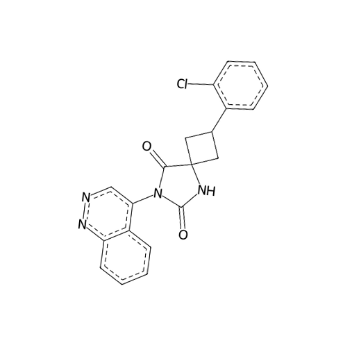 O=C1NC2(CC(c3ccccc3Cl)C2)C(=O)N1c1cnnc2ccccc12